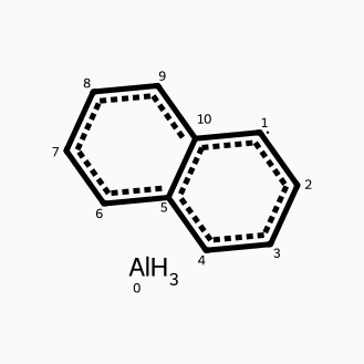 [AlH3].[c]1cccc2ccccc12